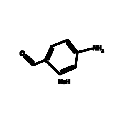 Nc1ccc(C=O)cc1.[NaH]